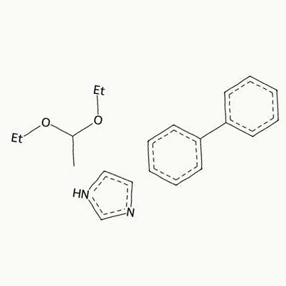 CCOC(C)OCC.c1c[nH]cn1.c1ccc(-c2ccccc2)cc1